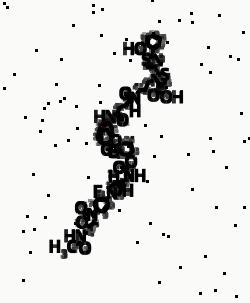 CC(=O)NC[C@H]1CN(c2ccc(N3C[C@@H]4[C@H](C3)[C@H]4NC(=O)OC3CCC[C@]4(C3)OOC3(O4)C4CC5CC3CC(NC(=O)CCC(=O)NCCCN3C([C@H]6CSC(c7ccccc7O)=N6)SC[C@H]3C(=O)O)(C5)C4)c(F)c2)C(=O)O1